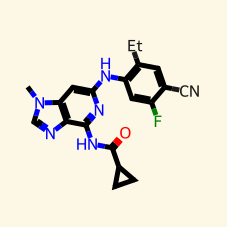 CCc1cc(C#N)c(F)cc1Nc1cc2c(ncn2C)c(NC(=O)C2CC2)n1